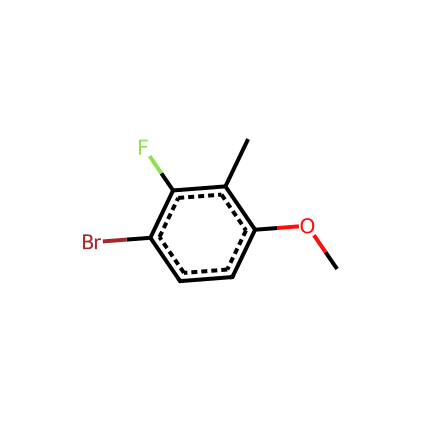 COc1ccc(Br)c(F)c1C